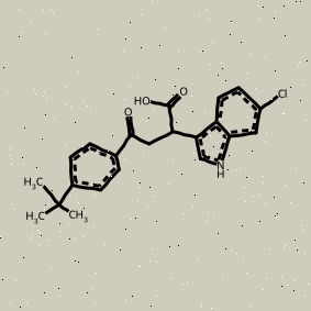 CC(C)(C)c1ccc(C(=O)CC(C(=O)O)c2c[nH]c3cc(Cl)ccc23)cc1